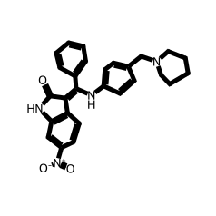 O=C1Nc2cc([N+](=O)[O-])ccc2C1=C(Nc1ccc(CN2CCCCC2)cc1)c1ccccc1